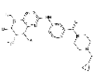 CC(C)N1c2nc(Nc3cccc(C(=O)N4CCN(CC5CC5)CC4)c3)ccc2N(C)C(=O)[C@H]1C